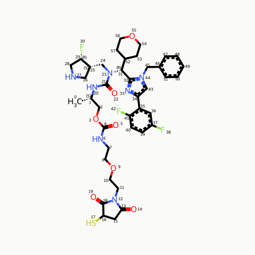 C[C@@H](COC(=O)NCCOCCN1C(=O)CC(S)C1=O)NC(=O)N(C[C@@H]1CNC[C@@H]1F)[C@@H](c1nc(-c2cc(F)ccc2F)cn1Cc1ccccc1)C1CCOCC1